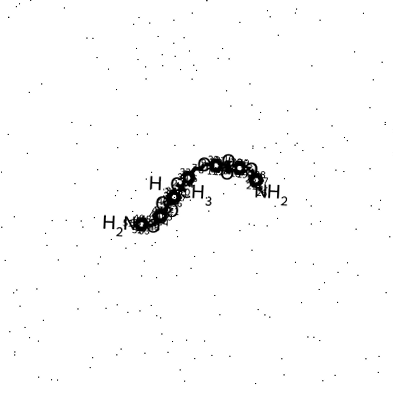 CC(C)(c1ccc(CCOc2ccc(S(=O)(=O)c3ccc(Oc4ccc(N)cc4)cc3)cc2)cc1)c1ccc(S(=O)(=O)c2ccc(Oc3ccc(N)cc3)cc2)cc1